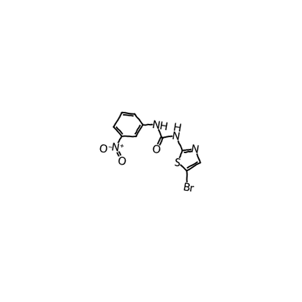 O=C(Nc1cccc([N+](=O)[O-])c1)Nc1ncc(Br)s1